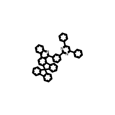 c1ccc(-c2cc(-c3ccccc3)nc(-c3cccc(-c4nc5ccccc5c5ccc6c(c45)-c4ccccc4C64c5ccccc5-c5ccccc54)c3)n2)cc1